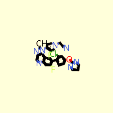 Cc1nc2cnc3cc(F)c(-c4ccc(Oc5ncccn5)cc4Cl)cc3c2n1C1=C(F)CN(CC#N)CC1